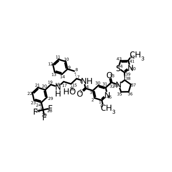 Cc1cc(C(=O)N[C@@H](Cc2ccccc2)[C@H](O)CNCc2cccc(C(F)(F)F)c2)cc(C(=O)N2CCC[C@@H]2c2nc(C)cs2)n1